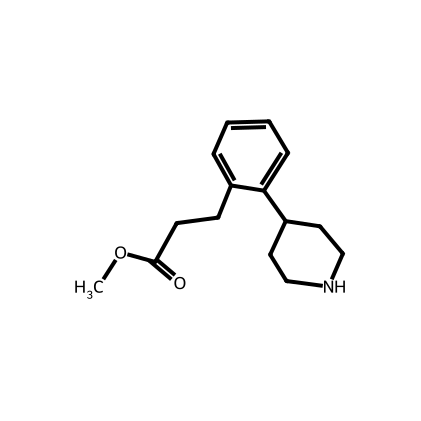 COC(=O)CCc1ccccc1C1CCNCC1